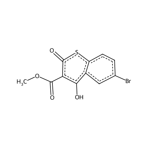 COC(=O)c1c(O)c2cc(Br)ccc2sc1=O